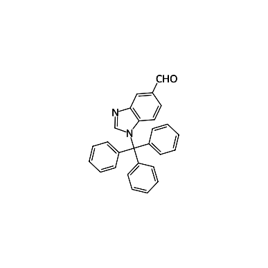 O=Cc1ccc2c(c1)ncn2C(c1ccccc1)(c1ccccc1)c1ccccc1